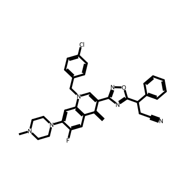 C=C1C(c2noc(C(CC#N)c3ccccc3)n2)=CN(Cc2ccc(Cl)cc2)c2cc(N3CCN(C)CC3)c(F)cc21